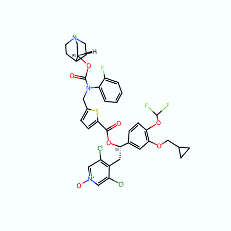 O=C(O[C@@H](Cc1c(Cl)c[n+]([O-])cc1Cl)c1ccc(OC(F)F)c(OCC2CC2)c1)c1ccc(CN(C(=O)O[C@H]2CN3CCC2CC3)c2ccccc2F)s1